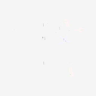 Cc1cc(F)ccc1[C@H]1CC(=O)CC[N+]1(C(=O)[O-])C(C)(C)C